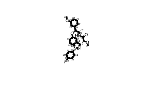 COCC(=O)N[C@@H](C)[C@@H](Oc1ccc2c(cnn2-c2ccc(F)cc2)c1)c1cccc(OC)c1